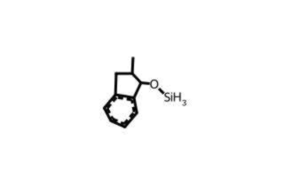 CC1Cc2ccccc2C1O[SiH3]